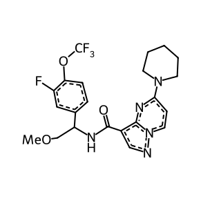 COCC(NC(=O)c1cnn2ccc(N3CCCCC3)nc12)c1ccc(OC(F)(F)F)c(F)c1